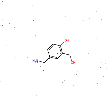 NCc1c[c]c(O)c(CO)c1